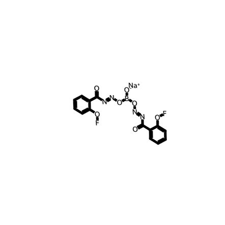 O=C(N=NOB([O-])ON=NC(=O)c1ccccc1OF)c1ccccc1OF.[Na+]